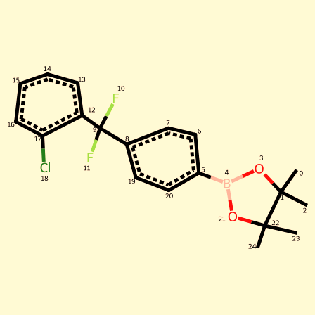 CC1(C)OB(c2ccc(C(F)(F)c3ccccc3Cl)cc2)OC1(C)C